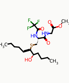 CCCCC=C(SC[C@H](NC(=O)C(F)(F)F)C(=O)NCC(=O)OC)[C@H](O)CCCC